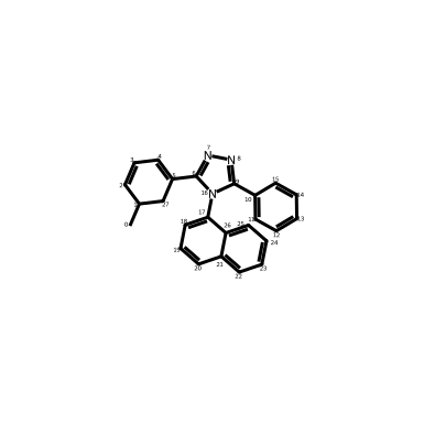 CC1C=CC=C(c2nnc(-c3ccccc3)n2-c2cccc3ccccc23)C1